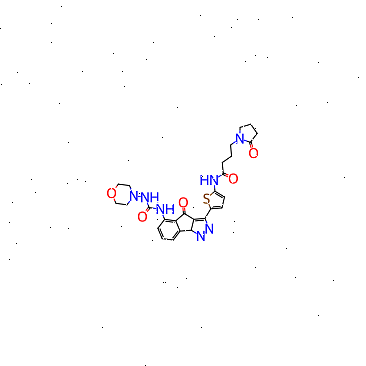 O=C(CCCN1CCCC1=O)Nc1ccc(C2=C3C(=O)c4c(NC(=O)NN5CCOCC5)cccc4C3N=N2)s1